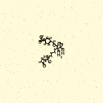 N[C@@](CCCCNC(=O)N1CCC1=O)(C(=O)O)C(=O)OCc1ccc([N+](=O)[O-])cc1